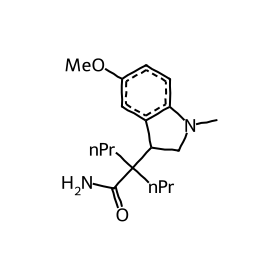 CCCC(CCC)(C(N)=O)C1CN(C)c2ccc(OC)cc21